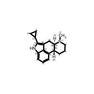 CN1CCC[C@@H]2c3cccc4[nH]c(C5CC5)c(c34)C[C@H]21